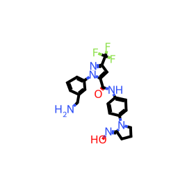 NCc1cccc(-n2nc(C(F)(F)F)cc2C(=O)Nc2ccc(N3CCCC3=NO)cc2)c1